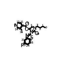 CCCCN1CC(OC(=O)c2ccncc2I)N(c2nc3cc(F)ccc3s2)C1=O